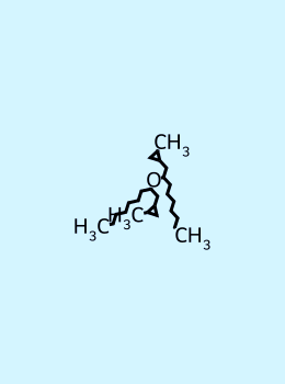 CCCCCCCC(CC1CC1C)OC(CCCCCCC)CC1CC1C